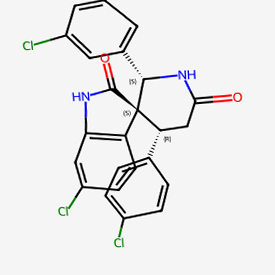 O=C1C[C@H](c2ccc(Cl)cc2)[C@@]2(C(=O)Nc3cc(Cl)ccc32)[C@H](c2cccc(Cl)c2)N1